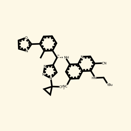 Cc1c(-c2ncco2)cccc1[C@H](Nc1cc(C#N)cc2c(NCC(C)(C)C)c(C#N)cnc12)c1cn(C2(C(F)(F)F)CC2)nn1